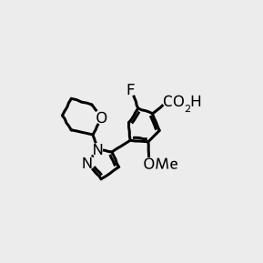 COc1cc(C(=O)O)c(F)cc1-c1ccnn1C1CCCCO1